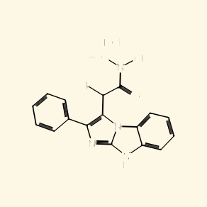 CN(C)C(=O)C(Cl)c1c(-c2ccccc2)nc2[nH]c3ccccc3n12.Cl